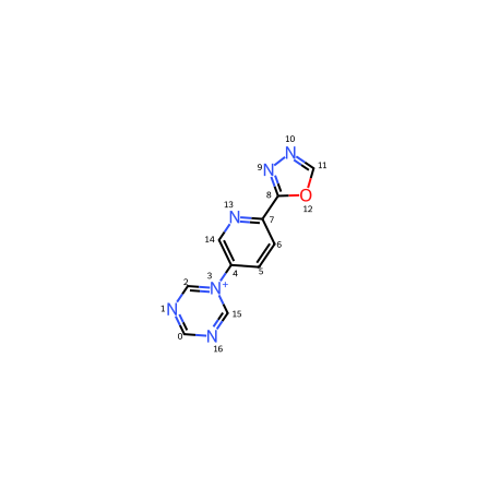 c1nc[n+](-c2ccc(-c3nnco3)nc2)cn1